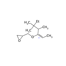 C/C=C(/OCC1CO1)C(C)C(C)(C)CC